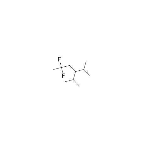 CC(C)C(CC(C)(F)F)C(C)C